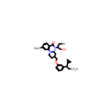 COc1ccc(C(=O)NC(CO)CC(C)C)c(N2CCC(COc3cccc(C(CC(=O)O)C4CC4)c3)CC2)c1